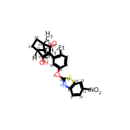 CCc1ccc(Oc2nc3ccc([N+](=O)[O-])cc3s2)cc1C1=C(O)[C@@H]2CC[C@](C)(C1=O)C2(C)C